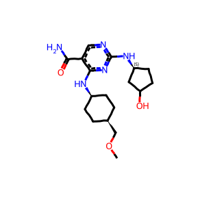 COC[C@H]1CC[C@@H](Nc2nc(N[C@H]3CCC(O)C3)ncc2C(N)=O)CC1